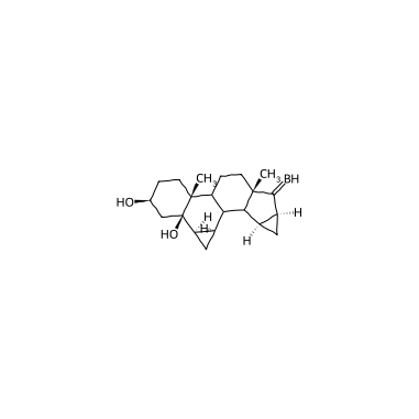 B=C1[C@H]2C[C@H]2C2C3C(CC[C@]12C)[C@@]1(C)CC[C@H](O)C[C@@]1(O)[C@@H]1C[C@H]31